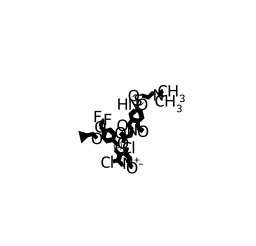 CN(C)CCCS(=O)(=O)Nc1ccc2c(c1)C(=O)N(CC(=O)O[C@@H](Cc1c(Cl)c[n+]([O-])cc1Cl)c1ccc(OC(F)F)c(OCC3CC3)c1)C2=O